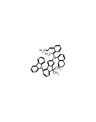 C=C/C=c1/cccc/c1=C(/C)N(c1ccc2c(c1)C(C)(C)c1cccc(-n3c4ccccc4c4ccccc43)c1-2)c1cccc2c1C=CCC2